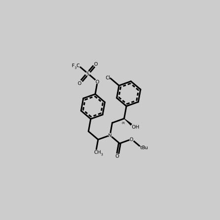 CC(Cc1ccc(OS(=O)(=O)C(F)(F)F)cc1)N(C[C@H](O)c1cccc(Cl)c1)C(=O)OC(C)(C)C